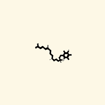 Cc1c(C)c2c(c(C)c1I)CC[C@@](C)(CCC[C@H](C)CCC[C@H](C)CCCC(C)C)O2